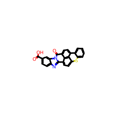 O=C(O)c1ccc2nc3c4ccc5sc6ccccc6c6ccc(c(=O)n3c2c1)c4c56